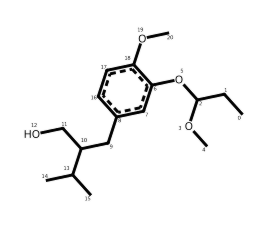 CCC(OC)Oc1cc(CC(CO)C(C)C)ccc1OC